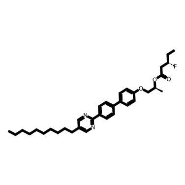 CCCCCCCCCCc1cnc(-c2ccc(-c3ccc(OC[C@H](C)OC(=O)C[C@@H](F)CC)cc3)cc2)nc1